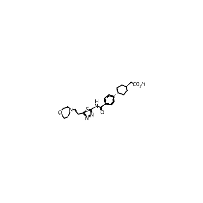 O=C(O)C[C@H]1CC[C@H](c2ccc(C(=O)Nc3nnc(CCN4CCOCC4)s3)cc2)CC1